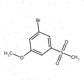 COc1cc(Br)cc(S(C)(=O)=O)c1